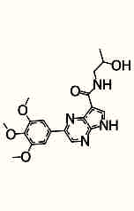 COc1cc(-c2cnc3[nH]cc(C(=O)NCC(C)O)c3n2)cc(OC)c1OC